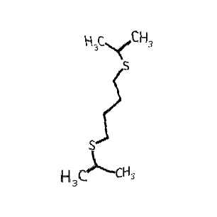 CC(C)SCCCCSC(C)C